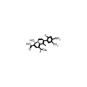 CC[C@@H](C)C1=C2C(C)=C(c3cc(P)c(N)cc3F)C=CN2[C@@H](O)C(C(=O)O)=C1